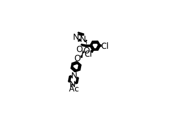 CC(=O)N1CCN(c2ccc(OC[C@H]3OC[C@@](Cn4ccnc4)(c4ccc(Cl)cc4Cl)O3)cc2)CC1